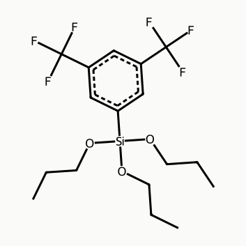 CCCO[Si](OCCC)(OCCC)c1cc(C(F)(F)F)cc(C(F)(F)F)c1